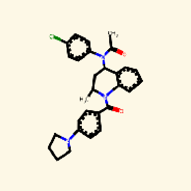 CC(=O)N(c1ccc(Cl)cc1)C1CC(C)N(C(=O)c2ccc(N3CCCC3)cc2)c2ccccc21